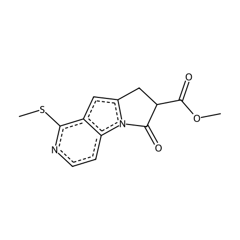 COC(=O)C1Cc2cc3c(SC)nccc3n2C1=O